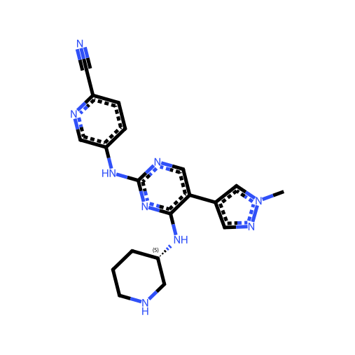 Cn1cc(-c2cnc(Nc3ccc(C#N)nc3)nc2N[C@H]2CCCNC2)cn1